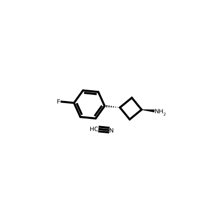 C#N.N[C@H]1C[C@H](c2ccc(F)cc2)C1